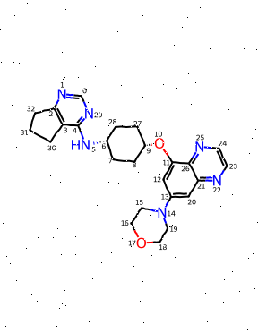 c1nc2c(c(N[C@H]3CC[C@@H](Oc4cc(N5CCOCC5)cc5nccnc45)CC3)n1)CCC2